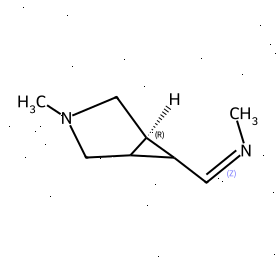 C/N=C\C1C2CN(C)C[C@@H]12